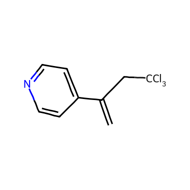 C=C(CC(Cl)(Cl)Cl)c1ccncc1